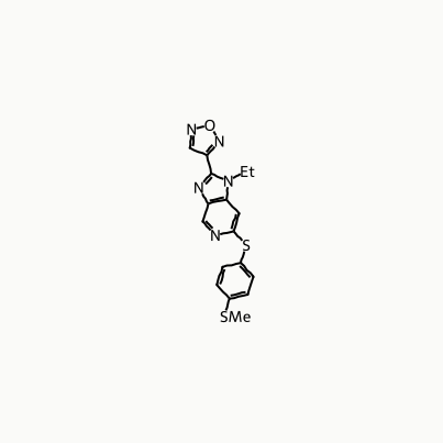 CCn1c(-c2cnon2)nc2cnc(Sc3ccc(SC)cc3)cc21